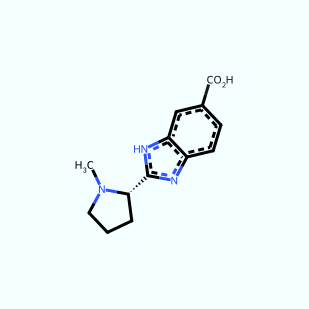 CN1CCC[C@H]1c1nc2ccc(C(=O)O)cc2[nH]1